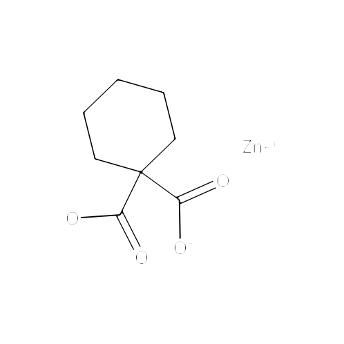 O=C([O-])C1(C(=O)[O-])CCCCC1.[Zn+2]